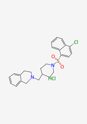 Cl.O=S(=O)(c1ccc(Cl)c2ccccc12)N1CCC(CN2CCc3ccccc3C2)CC1